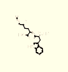 CC(=O)N[C@@H](Cc1c[nH]c2ccccc12)C(=O)NC(CCC(=O)C=[N+]=[N-])C(O)=S